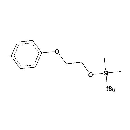 CC(C)(C)[Si](C)(C)OCCOc1cc[c]cc1